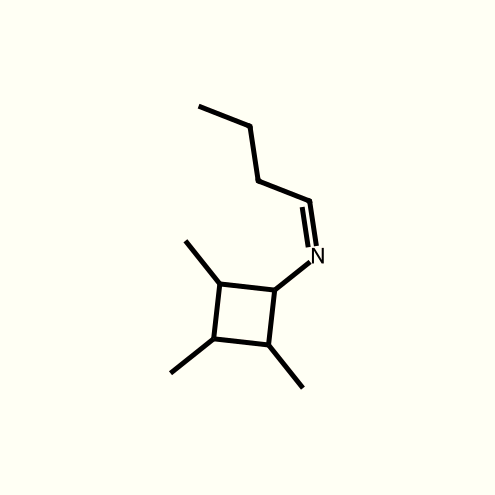 CCC/C=N\C1C(C)C(C)C1C